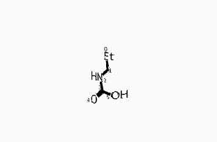 [CH2]CCNC(=O)O